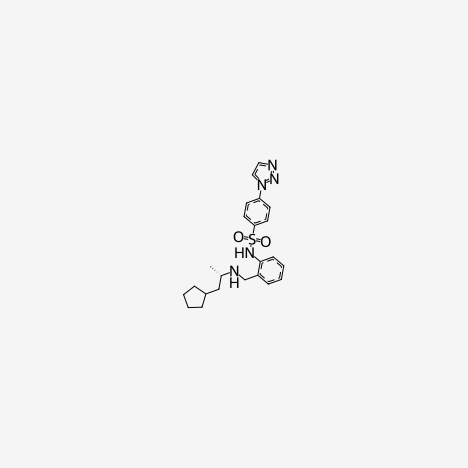 C[C@@H](CC1CCCC1)NCc1ccccc1NS(=O)(=O)c1ccc(-n2ccnn2)cc1